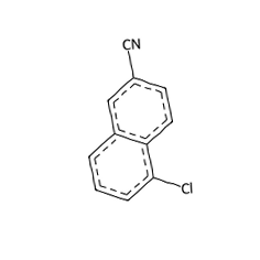 N#Cc1ccc2c(Cl)cccc2c1